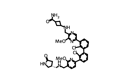 COc1nc(-c2cccc(-c3cccc(-c4cnc(CNC5CC(C(N)=O)C5)c(OC)n4)c3Cl)c2Cl)ccc1CNC[C@@H]1CNC(=O)C1